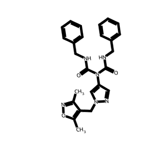 Cc1noc(C)c1Cn1cc(N(C(=O)NCc2ccccc2)C(=O)NCc2ccccc2)cn1